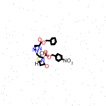 C[C@@]1(Cn2ncc(C(=O)OCc3ccccc3)n2)S[C@H]2CC(=O)N2[C@H]1C(=O)OCc1ccc([N+](=O)[O-])cc1